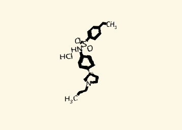 CCCN1CC[C@@H](c2ccc(NS(=O)(=O)c3ccc(CC)cc3)cc2)C1.Cl